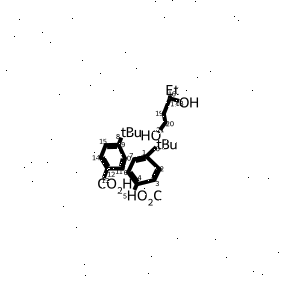 CC(C)(C)c1ccc(C(=O)O)cc1.CC(C)(C)c1ccc(C(=O)O)cc1.CCC(O)CCO